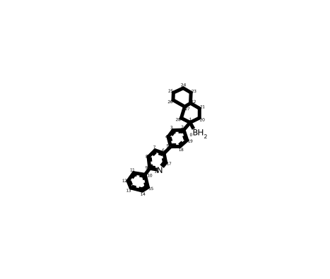 BC1(c2ccc(-c3ccc(-c4ccccc4)nc3)cc2)CCC2CCCCC2C1